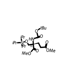 COC(=O)CC[C@@](CO[Si](C(C)C)(C(C)C)C(C)C)(NC(=O)OC(C)(C)C)C(=O)OC